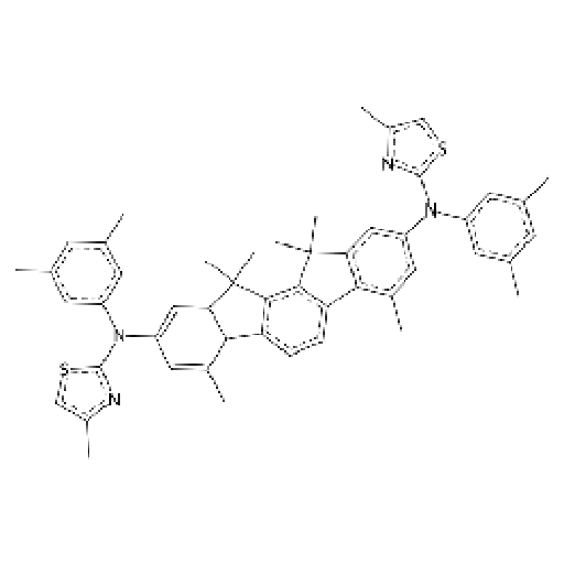 CC1=CC(N(c2cc(C)cc(C)c2)c2nc(C)cs2)=CC2C1c1ccc3c(c1C2(C)C)C(C)(C)c1cc(N(c2cc(C)cc(C)c2)c2nc(C)cs2)cc(C)c1-3